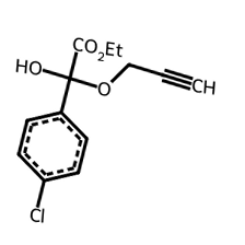 C#CCOC(O)(C(=O)OCC)c1ccc(Cl)cc1